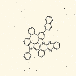 c1ccc(-c2nc3ccccc3nc2-n2c3cc(-c4ccc5ccccc5c4)cc4c5ccccc5c5cccc6c5c5c(c43)c2ccc5n6-c2ccccc2)cc1